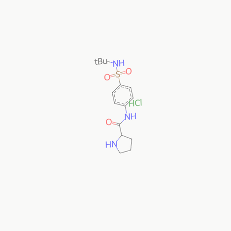 CC(C)(C)NS(=O)(=O)c1ccc(NC(=O)C2CCCN2)cc1.Cl